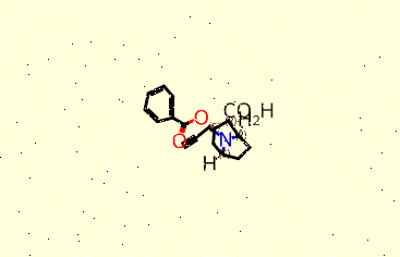 C#CCN1[C@H]2CC[C@@H]1[C@@H](C(=O)O)[C@@H](OC(=O)c1ccccc1)C2